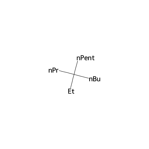 [CH2]CCCCC(CC)(CCC)CCCC